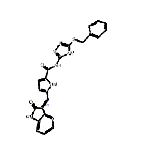 O=C1Nc2ccccc2/C1=C/c1ccc(C(=O)Nc2nnc(SCc3ccccc3)[nH]2)[nH]1